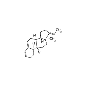 C/C=C1\CC[C@H]2[C@@H]3CC=C4C=CCC[C@@H]4[C@H]3CC[C@]12C